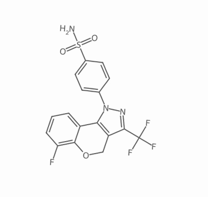 NS(=O)(=O)c1ccc(-n2nc(C(F)(F)F)c3c2-c2cccc(F)c2OC3)cc1